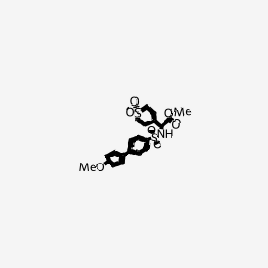 COC(=O)C(NS(=O)(=O)c1ccc(-c2ccc(OC)cc2)cc1)C1CCS(=O)(=O)CC1